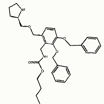 CCCCOC(=O)NCc1c(COC[C@H]2CCCN2)ccc(OCc2ccccc2)c1OCc1ccccc1